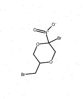 O=[N+]([O-])C1(Br)COC(CBr)CO1